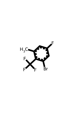 Cc1cc(F)cc(Br)c1C(F)(F)F